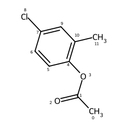 CC(=O)Oc1ccc(Cl)cc1C